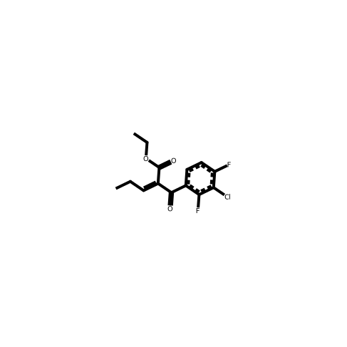 CCC=C(C(=O)OCC)C(=O)c1ccc(F)c(Cl)c1F